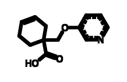 O=C(O)C1(COc2cccnc2)CC=CCC1